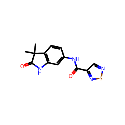 CC1(C)C(=O)Nc2cc(NC(=O)c3cnsn3)ccc21